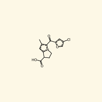 Cc1cc2n(c1C(=O)c1cc(Cl)co1)CCC2C(=O)O